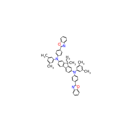 Cc1cc(C)cc(N(c2ccc(-c3nc4ccccc4o3)cc2)c2ccc3c(c2)C(C)(C)c2cc(N(c4ccc(-c5nc6ccccc6o5)cc4)c4cc(C)cc(C)c4)ccc2-3)c1